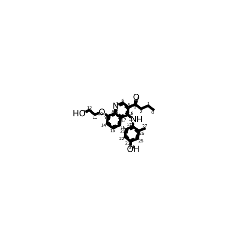 CCCC(=O)c1cnc2c(OCCO)cccc2c1Nc1ccc(O)cc1C